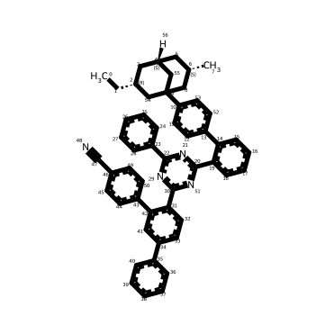 CC[C@@H]1C[C@@H]2C[C@H](C)CC(c3ccc(-c4ccccc4-c4nc(-c5ccccc5)nc(-c5ccc(-c6ccccc6)cc5-c5ccc(C#N)cc5)n4)cc3)(C1)C2